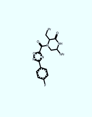 CCCC1CN(C(=O)c2nc(-c3ccc(F)cc3)no2)C(CC(C)C)C(=O)N1